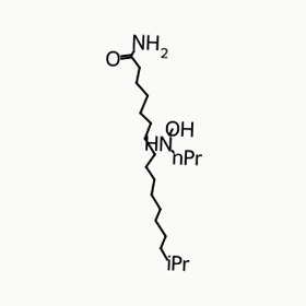 CC(C)CCCCCCCCCCCCCCC(N)=O.CCCNO